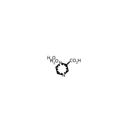 O.O.O=C(O)c1cnccn1